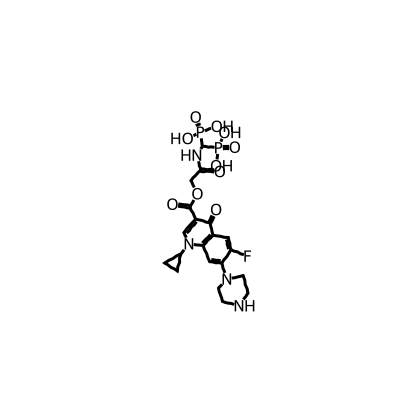 O=C(COC(=O)c1cn(C2CC2)c2cc(N3CCNCC3)c(F)cc2c1=O)NC(P(=O)(O)O)P(=O)(O)O